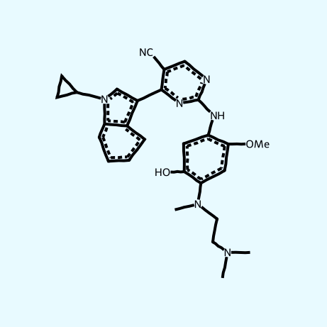 COc1cc(N(C)CCN(C)C)c(O)cc1Nc1ncc(C#N)c(-c2cn(C3CC3)c3ccccc23)n1